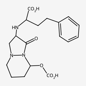 O=C(O)OC1CCCN2CC(NC(CCc3ccccc3)C(=O)O)C(=O)N12